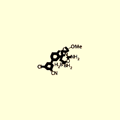 BC1(B)CC2(N=C(N)O1)c1cc(-c3cc(Cl)cc(C#N)c3)ccc1C[C@]21CC[C@@H](OC)CC1